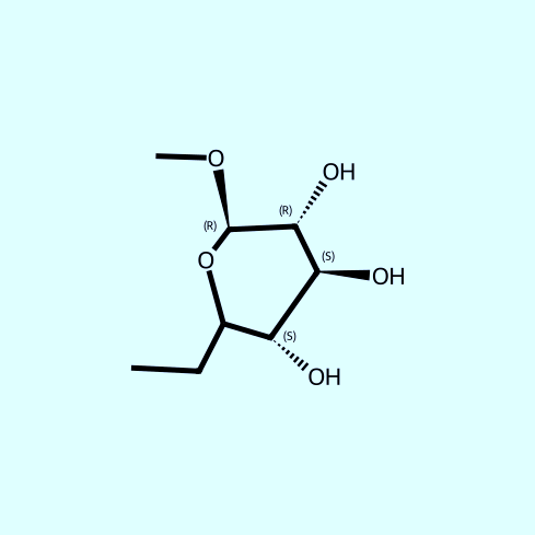 CCC1O[C@@H](OC)[C@H](O)[C@@H](O)[C@@H]1O